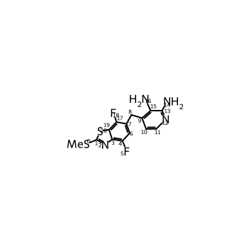 CSc1nc2c(F)cc(Cc3ccnc(N)c3N)c(F)c2s1